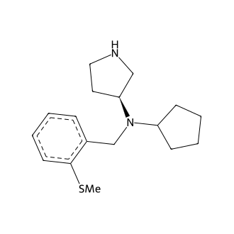 CSc1ccccc1CN(C1CCCC1)[C@H]1CCNC1